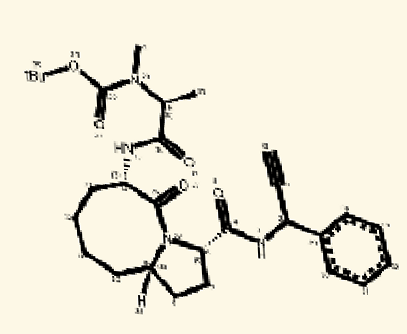 C#CC(NC(=O)[C@@H]1CC[C@@H]2CCCC[C@H](NC(=O)[C@H](C)N(C)C(=O)OC(C)(C)C)C(=O)N21)c1ccccc1